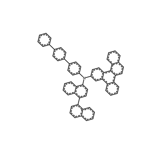 c1ccc(-c2ccc(-c3ccc(N(c4ccc5c(c4)c4ccccc4c4ccc6ccccc6c45)c4ccc(-c5cccc6ccccc56)c5ccccc45)cc3)cc2)cc1